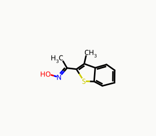 C/C(=N\O)c1sc2ccccc2c1C